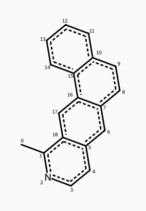 Cc1nccc2cc3ccc4ccccc4c3cc12